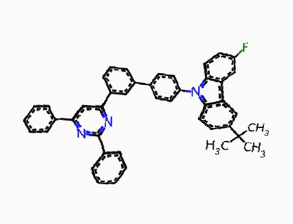 CC(C)(C)c1ccc2c(c1)c1cc(F)ccc1n2-c1ccc(-c2cccc(-c3cc(-c4ccccc4)nc(-c4ccccc4)n3)c2)cc1